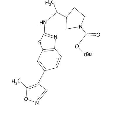 Cc1oncc1-c1ccc2nc(NC(C)C3CCN(C(=O)OC(C)(C)C)C3)sc2c1